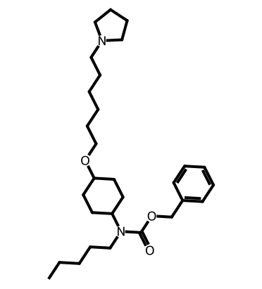 CCCCCN(C(=O)OCc1ccccc1)C1CCC(OCCCCCCN2CCCC2)CC1